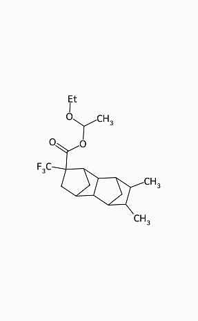 CCOC(C)OC(=O)C1(C(F)(F)F)CC2CC1C1C3CC(C(C)C3C)C21